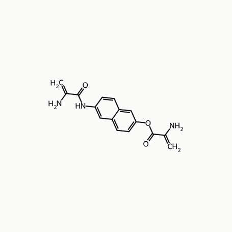 C=C(N)C(=O)Nc1ccc2cc(OC(=O)C(=C)N)ccc2c1